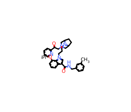 Cc1cccc(CNC(=O)c2cn(CCCN3C4CCC3CN(CC(=O)c3ccccn3)C4)c3c(OC(C)C)cccc23)c1